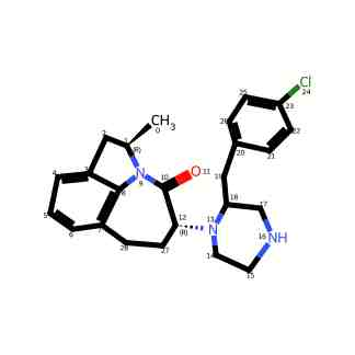 C[C@@H]1Cc2cccc3c2N1C(=O)[C@H](N1CCNCC1Cc1ccc(Cl)cc1)CC3